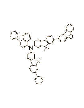 CC1(C)c2cc(-c3ccccc3)ccc2-c2ccc(N(c3ccc4c(c3)C(C)(C)c3cc(-c5ccc6oc7ccccc7c6c5)ccc3-4)c3ccc4c5c(cccc35)-c3ccccc3-4)cc21